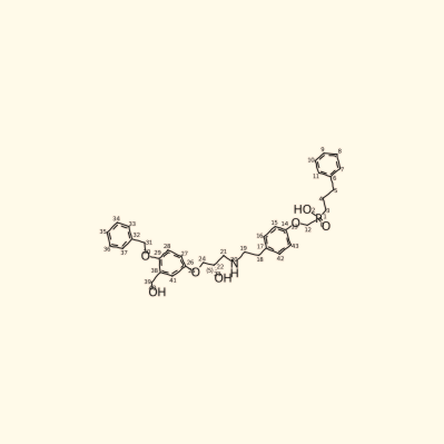 O=P(O)(CCCc1ccccc1)COc1ccc(CCNC[C@H](O)COc2ccc(OCc3ccccc3)c(CO)c2)cc1